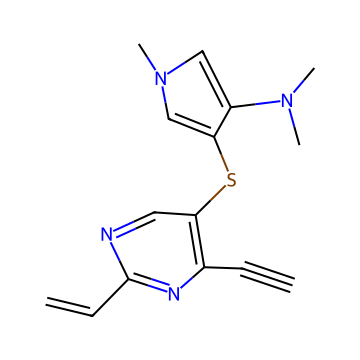 C#Cc1nc(C=C)ncc1Sc1cn(C)cc1N(C)C